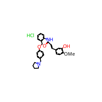 COc1ccc(C=CC(=O)Nc2ccccc2COc2ccc(CN3CCCC3)cc2)cc1O.Cl